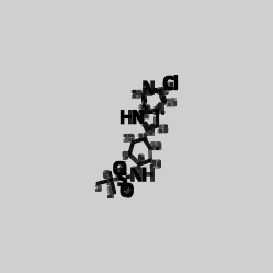 CC(C)(C)S(=O)(=O)N[C@H]1CC[C@H](c2cc3cc(Cl)ncc3[nH]2)CC1